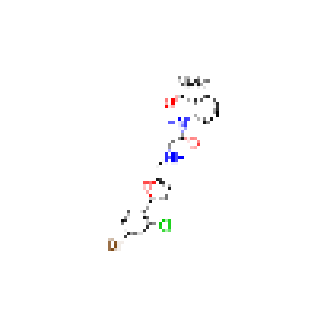 CNC(=O)c1ccccc1NC(=O)CNCc1ccc(-c2ccc(Br)cc2Cl)o1